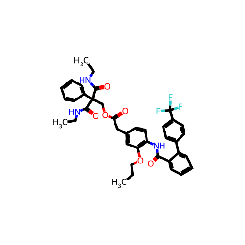 CCCOc1cc(CC(=O)OCC(C(=O)NCC)(C(=O)NCC)c2ccccc2)ccc1NC(=O)c1ccccc1-c1ccc(C(F)(F)F)cc1